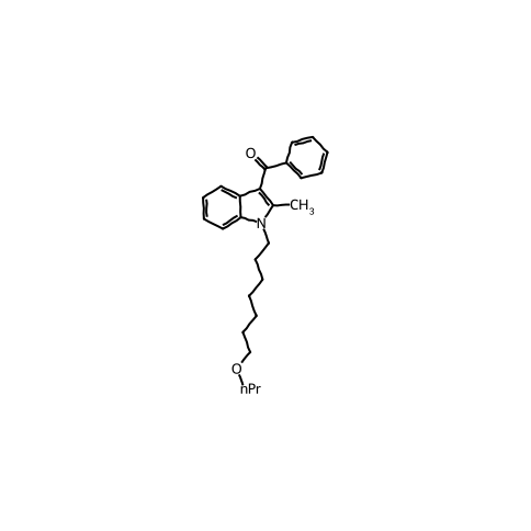 CCCOCCCCCCCn1c(C)c(C(=O)c2ccccc2)c2ccccc21